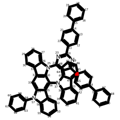 c1ccc(-c2ccc(-c3nc(-c4ccc(-c5ccccc5)cc4)nc(-n4c5ccccc5c5cc6c(c(-n7c8ccccc8c8ccccc87)c54)c4ccccc4n6-c4ccccc4)n3)cc2)cc1